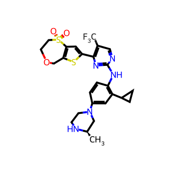 C[C@@H]1CN(c2ccc(Nc3ncc(C(F)(F)F)c(-c4cc5c(s4)COCCS5(=O)=O)n3)c(C3CC3)c2)CCN1